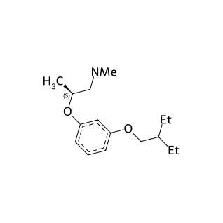 CCC(CC)COc1cccc(O[C@@H](C)CNC)c1